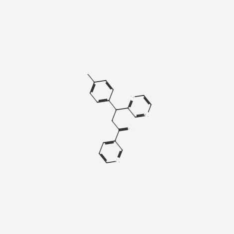 O=C(CC(c1ccc(Cl)cc1)c1cnccn1)c1cccnc1